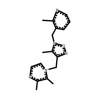 Cc1ncccc1C[n+]1onc(C[n+]2ccnc(C)c2C)c1C